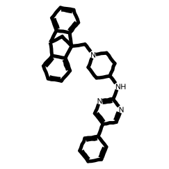 c1ccc(-c2cnc(NC3CCN(CC45CC(c6ccccc64)c4ccccc45)CC3)nc2)cc1